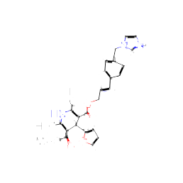 COC(=O)C1=C(C)NC(C)=C(C(=O)OC/C=C/c2ccc(Cn3ccnc3)cc2)C1c1ccco1